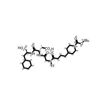 CCN(CC(=O)N[C@@H](CC(=O)O)C(=O)N[C@@H](CC1CCCCC1)C(=O)O)C(=O)CCCC1CCN(C(=O)OC(C)(C)C)CC1